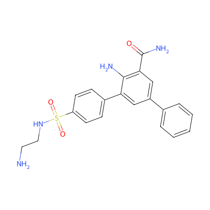 NCCNS(=O)(=O)c1ccc(-c2cc(-c3ccccc3)cc(C(N)=O)c2N)cc1